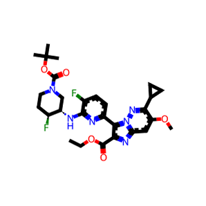 CCOC(=O)c1nc2cc(OC)c(C3CC3)nn2c1-c1ccc(F)c(N[C@H]2CN(C(=O)OC(C)(C)C)CC[C@@H]2F)n1